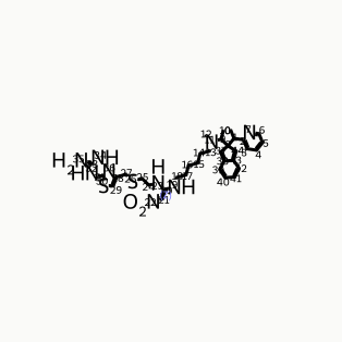 CC(c1ccccn1)C1(C(C)N(C)CCCCCCN/C(=C/[N+](=O)[O-])NCCSCc2csc(NC(=N)N)n2)C=c2ccccc2=C1